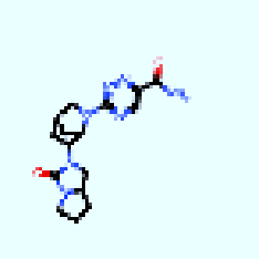 NC(=O)c1cnc(N2CC3CC(N4CC5CCCN5C4=O)C2C3)nn1